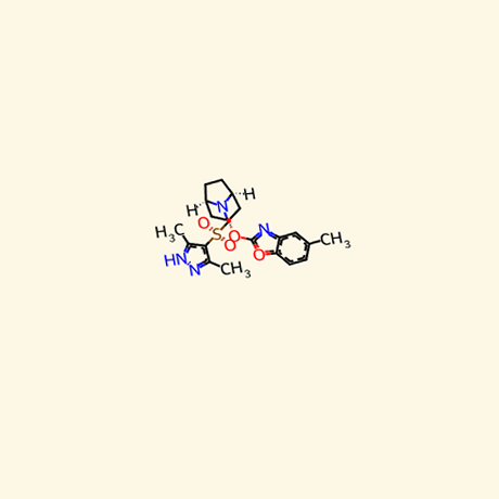 Cc1ccc2oc(O[C@@H]3C[C@H]4CC[C@@H](C3)N4CS(=O)(=O)c3c(C)n[nH]c3C)nc2c1